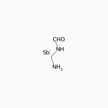 NCNC=O.[Sb]